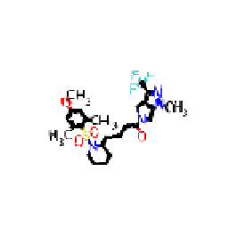 COc1cc(C)c(S(=O)(=O)N2CCCCC2CCCC(=O)N2Cc3c(C(F)(F)F)nn(C)c3C2)c(C)c1